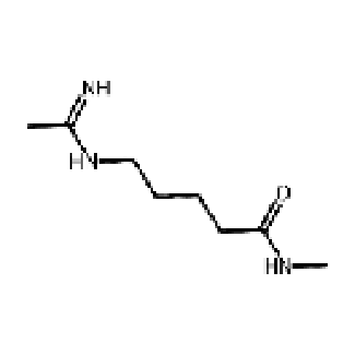 CNC(=O)CCCCNC(C)=N